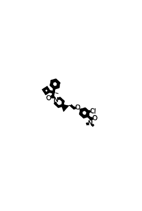 CN(C)C(=O)c1ccc(OCC[C@@H]2CC23CCN(C(=O)[C@](C)(c2ccccc2)C2CCC2)CC3)cc1Cl